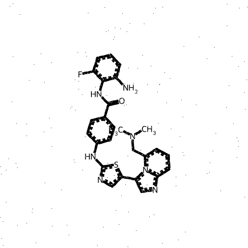 CN(C)Cc1cccc2ncc(-c3cnc(Nc4ccc(C(=O)Nc5c(N)cccc5F)cc4)s3)n12